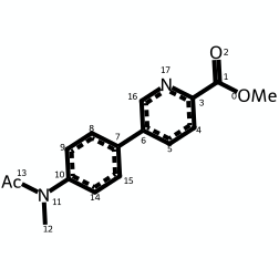 COC(=O)c1ccc(-c2ccc(N(C)C(C)=O)cc2)cn1